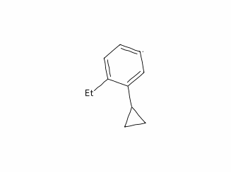 CCc1cc[c]cc1C1CC1